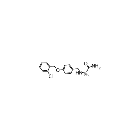 C[C@H](NCc1ccc(OCc2ccccc2Cl)cc1)C(N)=O